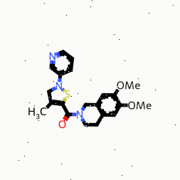 COc1cc2c(cc1OC)CN(C(=O)C1=C(C)CN(c3cccnc3)S1)CC2